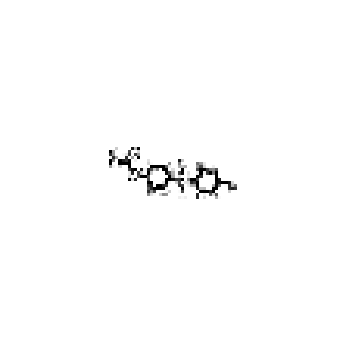 COC(=O)Oc1ccc([Si](C)(C)c2ccc(C)cc2)cc1